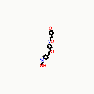 COc1ccc(CCC(=O)Nc2ccc(C(=O)/C=C/c3ccc(N(C)CCO)cc3)cc2)cc1